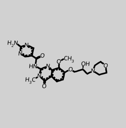 COc1c(OC[C@@H](O)CN2CCOCC2)ccc2c(=O)n(C)c(NC(=O)c3cnc(N)nc3)nc12